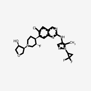 Cc1c(Nc2ncc3cc(Cl)c([C@@H]4CCN([C@H]5COC[C@H]5O)C[C@H]4F)cc3n2)cnn1C1CC1(F)F